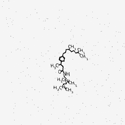 CC(C)CCCC(C)CCCc1ccc(C(C)CC(=O)NCC[N+](C)(C)CCN(C)C)cc1